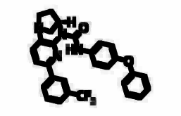 O=C(Nc1ccc(Oc2ccccc2)cc1)N1c2nc(-c3cccc(C(F)(F)F)c3)ccc2N2CC[C@H]1C2